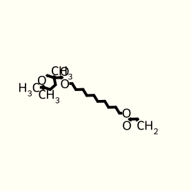 C=CC(=O)OCCCCCCCCCCOC(=O)C1(C)CCC(C)(C)OC1